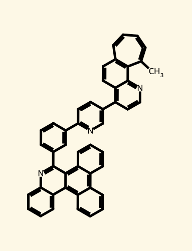 CC1=C=CC=Cc2ccc3c(-c4ccc(-c5cccc(-c6nc7ccccc7c7c8ccccc8c8ccccc8c67)c5)nc4)ccnc3c21